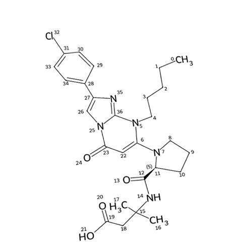 CCCCCn1c(N2CCC[C@H]2C(=O)NC(C)(C)CC(=O)O)cc(=O)n2cc(-c3ccc(Cl)cc3)nc12